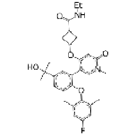 CCNC(=O)C1CC(Oc2cc(=O)n(C)cc2-c2cc(C(C)(C)O)ccc2Oc2c(C)cc(F)cc2C)C1